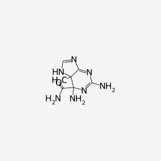 CC12NC=NC1=NC(N)=NC2(N)C(N)=O